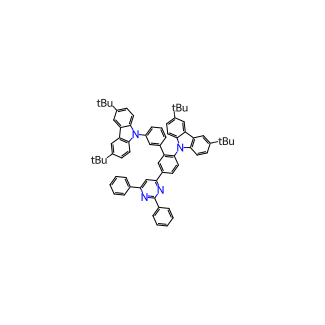 CC(C)(C)c1ccc2c(c1)c1cc(C(C)(C)C)ccc1n2-c1cccc(-c2cc(-c3cc(-c4ccccc4)nc(-c4ccccc4)n3)ccc2-n2c3ccc(C(C)(C)C)cc3c3cc(C(C)(C)C)ccc32)c1